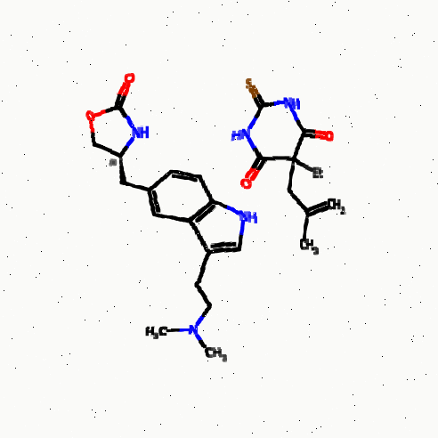 C=C(C)CC1(CC)C(=O)NC(=S)NC1=O.CN(C)CCc1c[nH]c2ccc(C[C@H]3COC(=O)N3)cc12